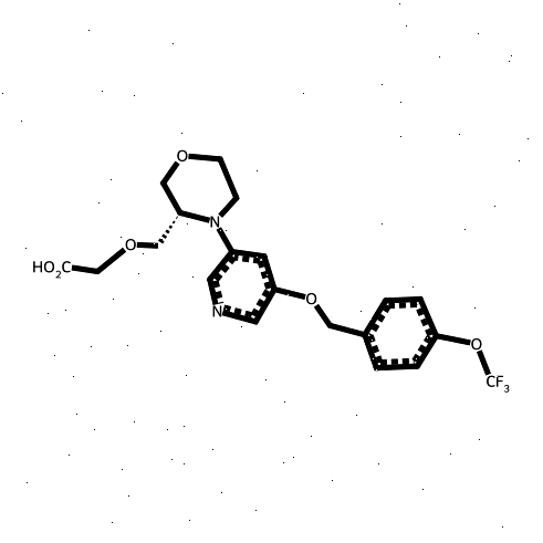 O=C(O)COC[C@@H]1COCCN1c1cncc(OCc2ccc(OC(F)(F)F)cc2)c1